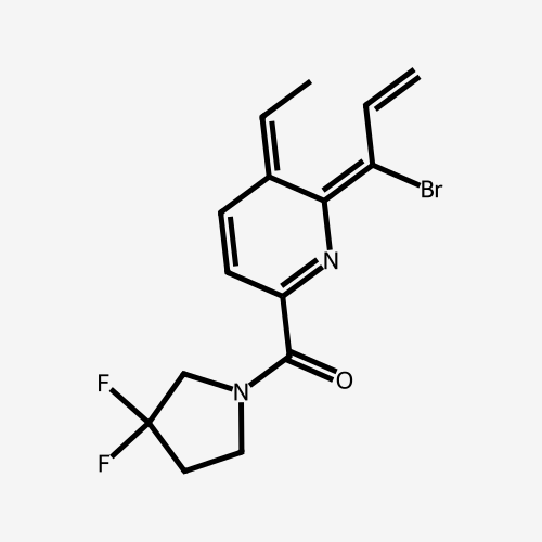 C=C/C(Br)=c1/nc(C(=O)N2CCC(F)(F)C2)cc/c1=C/C